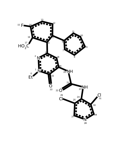 CCn1nc(-c2c(-c3ccccc3)ccc(F)c2C(=O)O)cc(NC(=O)Nc2c(Cl)cncc2Cl)c1=O